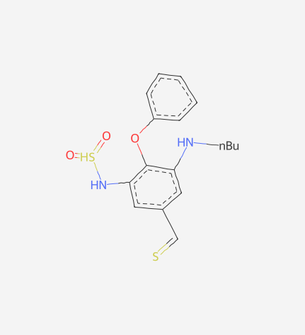 CCCCNc1cc(C=S)cc(N[SH](=O)=O)c1Oc1ccccc1